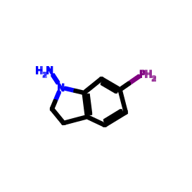 NN1CCc2ccc(P)cc21